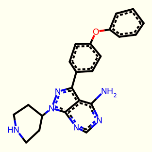 Nc1ncnc2c1c(-c1ccc(Oc3ccccc3)cc1)nn2C1CCNCC1